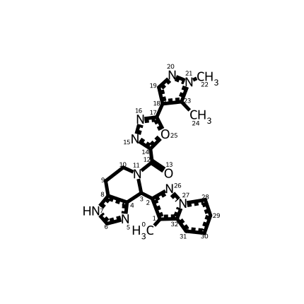 Cc1c(C2c3nc[nH]c3CCN2C(=O)c2nnc(-c3cnn(C)c3C)o2)nn2ccccc12